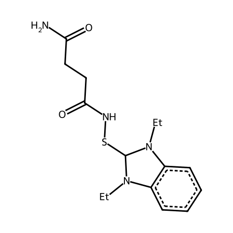 CCN1c2ccccc2N(CC)C1SNC(=O)CCC(N)=O